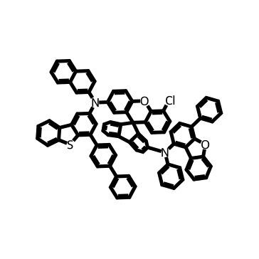 Clc1cccc2c1Oc1ccc(N(c3ccc4ccccc4c3)c3cc(-c4ccc(-c5ccccc5)cc4)c4sc5ccccc5c4c3)cc1C21c2ccccc2-c2ccc(N(c3ccccc3)c3ccc(-c4ccccc4)c4oc5ccccc5c34)cc21